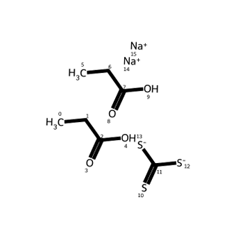 CCC(=O)O.CCC(=O)O.S=C([S-])[S-].[Na+].[Na+]